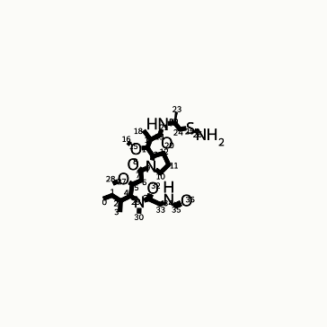 CCC(C)C(C(CC(=O)N1CCCC1C(OC)C(C)C(=O)N[C@@H](C)CSN)OC)N(C)C(=O)CNC=O